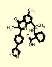 Cc1cc([C@@H](C)Nc2ccccc2C(=O)O)c2oc(-c3ccc(-c4cn[nH]c4)cc3)c(C)c(=O)c2c1